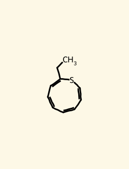 CCc1cccccccs1